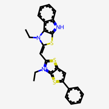 CCN1/C(=C/c2sc3cc(-c4ccccc4)sc3[n+]2CC)Sc2[nH]c3ccccc3c21